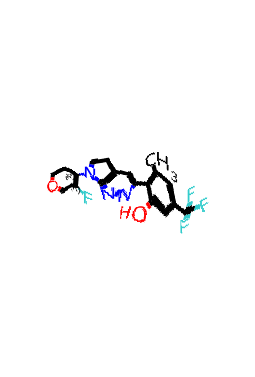 Cc1cc(C(F)(F)F)cc(O)c1-c1cc2c(nn1)N([C@@H]1CCOC[C@@H]1F)CC2